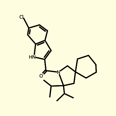 CC(C)C1(C(C)C)CC2(CCCCC2)CN1C(=O)c1cc2ccc(Cl)cc2[nH]1